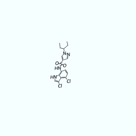 CCC(CC)n1cc(S(=O)(=O)Nc2ccc(Cl)c3c(Cl)c[nH]c23)cn1